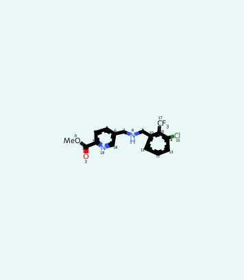 COC(=O)c1ccc(CNCc2cccc(Cl)c2C(F)(F)F)cn1